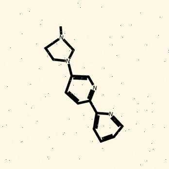 CN1CCN(c2ccc(-c3ccccn3)nc2)C1